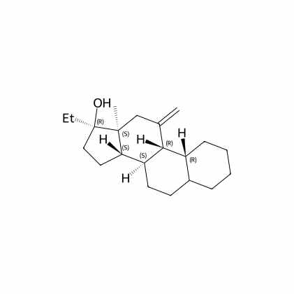 C=C1C[C@@]2(C)[C@@H](CC[C@]2(O)CC)[C@@H]2CCC3CCCC[C@H]3[C@@H]12